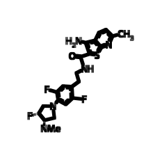 CN[C@H]1CN(c2cc(F)c(CCNC(=O)c3sc4nc(C)ccc4c3N)cc2F)C[C@H]1F